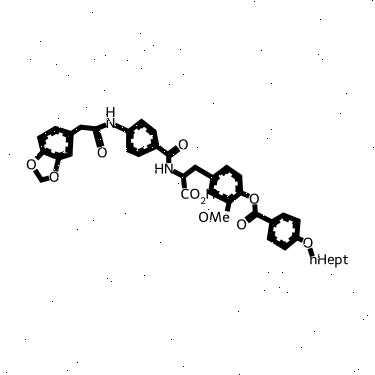 CCCCCCCOc1ccc(C(=O)Oc2ccc(CC(NC(=O)c3ccc(NC(=O)Cc4ccc5c(c4)OCO5)cc3)C(=O)O)cc2OC)cc1